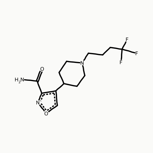 NC(=O)c1nocc1C1CCN(CCCC(F)(F)F)CC1